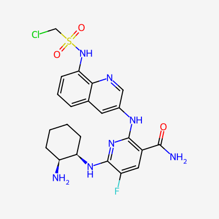 NC(=O)c1cc(F)c(N[C@@H]2CCCC[C@@H]2N)nc1Nc1cnc2c(NS(=O)(=O)CCl)cccc2c1